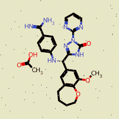 CC(=O)O.COc1cc([C@H](Nc2ccc(C(=N)N)cc2)c2nn(-c3ncccn3)c(=O)[nH]2)cc2c1OCCCC2